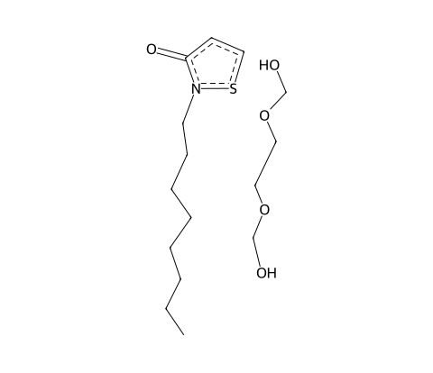 CCCCCCCCn1sccc1=O.OCOCCOCO